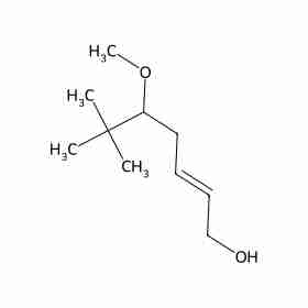 COC(CC=CCO)C(C)(C)C